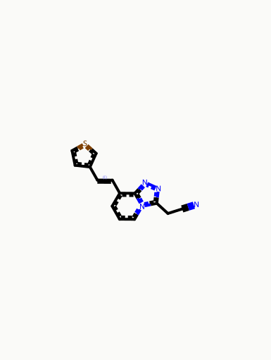 N#CCc1nnc2c(/C=C/c3ccsc3)cccn12